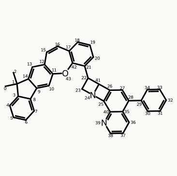 CC1(C)c2ccccc2-c2cc3c(cc21)C=Cc1cccc(C2CN4c5c(cc(-c6ccccc6)c6cccnc56)C24)c1O3